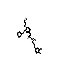 Cc1ccc(CCCNC(=O)Cc2ccc(OCCBr)c(OCc3ccccc3)c2)cc1C